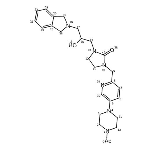 CC(=O)N1CCN(c2ccc(CN3CCN(CC(O)CN4Cc5ccccc5C4)C3=O)nc2)CC1